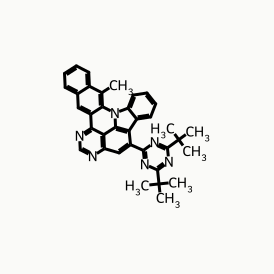 Cc1c2ccccc2cc2c3ncnc4cc(-c5nc(C(C)(C)C)nc(C(C)(C)C)n5)c5c6ccccc6n(c12)c5c43